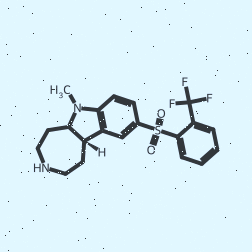 CN1c2ccc(S(=O)(=O)c3ccccc3C(F)(F)F)cc2[C@@H]2CCNCCC21